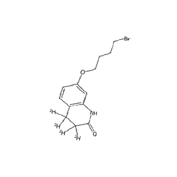 [2H]C1([2H])C(=O)Nc2cc(OCCCCBr)ccc2C1([2H])[2H]